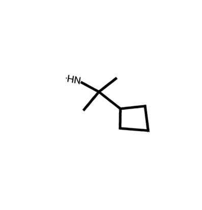 CC(C)([NH])C1CCC1